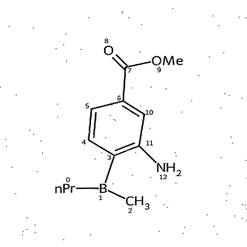 CCCB(C)c1ccc(C(=O)OC)cc1N